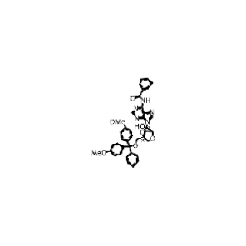 COc1ccc(C(OC[C@]23COC(C2O)[C@H](n2cnc4c(NC(=O)c5ccccc5)ncnc42)O3)(c2ccccc2)c2ccc(OC)cc2)cc1